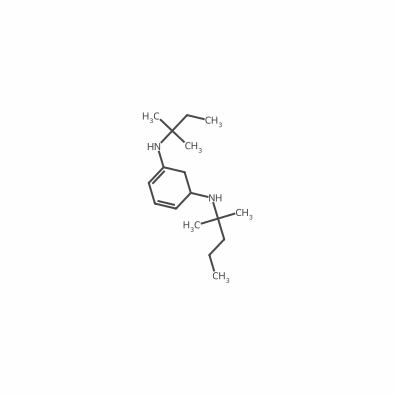 CCCC(C)(C)NC1C=CC=C(NC(C)(C)CC)C1